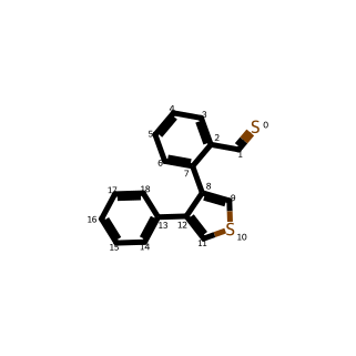 S=Cc1ccccc1-c1cscc1-c1ccccc1